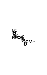 COc1ccccc1N1CCN(C(=O)c2ccc(NS(=O)(=O)c3ccc4ncsc4c3)cc2)CC1